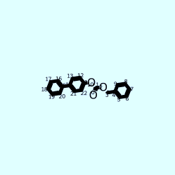 O=C(OCc1ccccc1)Oc1ccc(-c2ccccc2)cc1